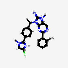 CC(C)c1ccccc1-c1ncc2c(n1)n(C(C)c1ccc(-c3nc(Cl)cn3C)cc1)c(=N)n2C